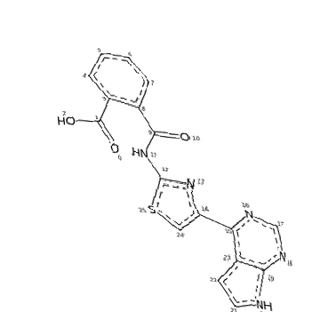 O=C(O)c1ccccc1C(=O)Nc1nc(-c2ncnc3[nH]ccc23)cs1